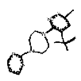 Cc1cc(C(C)(C)C)c(N2CCN(c3ncccn3)CC2)nn1